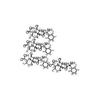 CC1=C(C(=O)O)N2C(=O)[C@@H](NC(=O)[C@H](N)c3ccccc3)[C@H]2SC1.CC1=C(C(=O)O)N2C(=O)[C@@H](NC(=O)[C@H](N)c3ccccc3)[C@H]2SC1.CC1=C(C(=O)O)N2C(=O)[C@@H](NC(=O)[C@H](N)c3ccccc3)[C@H]2SC1.CC1=C(C(=O)O)N2C(=O)[C@@H](NC(=O)[C@H](N)c3ccccc3)[C@H]2SC1